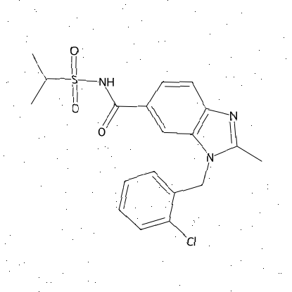 Cc1nc2ccc(C(=O)NS(=O)(=O)C(C)C)cc2n1Cc1ccccc1Cl